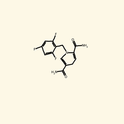 NC(=O)C1=CN(Cc2c(F)cc(F)cc2F)C(C(N)=O)=CC1